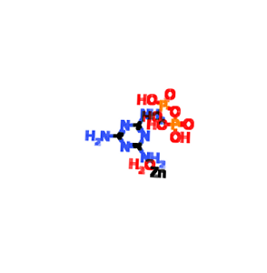 Nc1nc(N)nc(N)n1.O.O=P(O)(O)OP(=O)(O)O.[Zn]